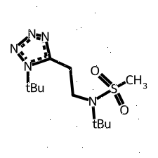 CC(C)(C)N(CCc1nnnn1C(C)(C)C)S(C)(=O)=O